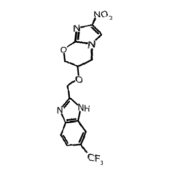 O=[N+]([O-])c1cn2c(n1)OCC(OCc1nc3ccc(C(F)(F)F)cc3[nH]1)C2